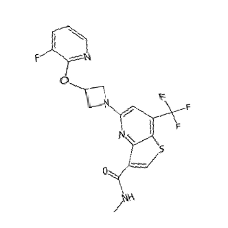 CNC(=O)c1csc2c(C(F)(F)F)cc(N3CC(Oc4ncccc4F)C3)nc12